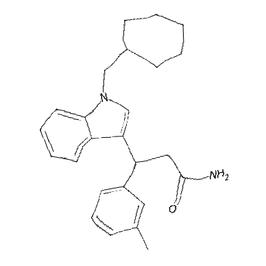 Cc1cccc(C(CC(N)=O)c2cn(CC3CCCCC3)c3ccccc23)c1